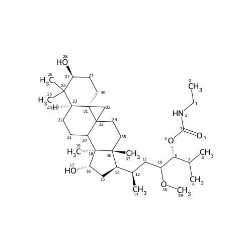 CCNC(=O)O[C@H](C(C)C)C(C[C@@H](C)[C@H]1C[C@H](O)[C@@]2(C)C3CC[C@H]4C(C)(C)[C@@H](O)CC[C@@]45CC35CC[C@]12C)OC